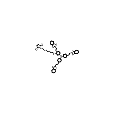 O=C1C=CC(=O)N1CCCCCCCCOc1cc(N(c2ccc(/C=C/c3nc4ccccc4s3)cc2)c2ccc(/C=C/c3nc4ccccc4s3)cc2)ccc1C=Cc1nc2ccccc2s1